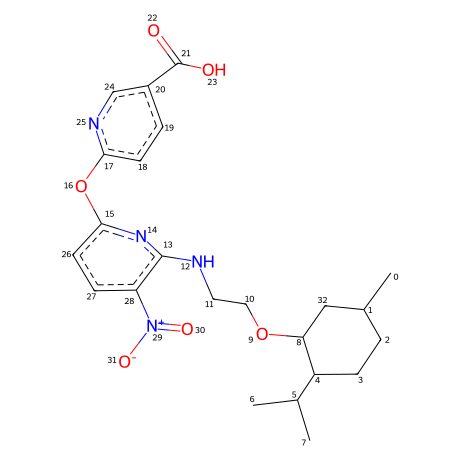 CC1CCC(C(C)C)C(OCCNc2nc(Oc3ccc(C(=O)O)cn3)ccc2[N+](=O)[O-])C1